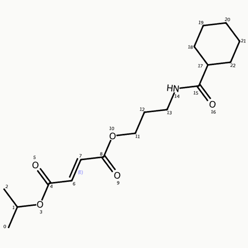 CC(C)OC(=O)/C=C/C(=O)OCCCNC(=O)C1CCCCC1